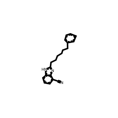 N#Cc1cccc2[nH]c(CCCCCCc3ccccc3)nc12